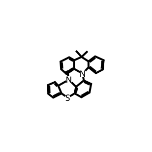 CCN1c2ccccc2Sc2cccc(N3c4ccccc4C(C)(C)c4ccccc43)c21